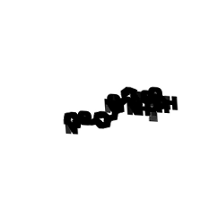 Nc1c(-c2cc(Cc3ccc(COc4cccnc4)cc3)no2)ccc[n+]1COP(=O)(O)O